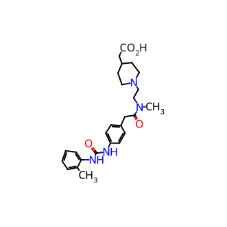 Cc1ccccc1NC(=O)Nc1ccc(CC(=O)N(C)CCN2CCC(CC(=O)O)CC2)cc1